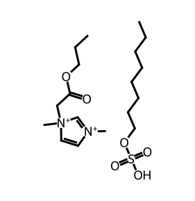 CCCCCCCCOS(=O)(=O)O.CCCOC(=O)C[N+]1(C)C=C[N+](C)=C1